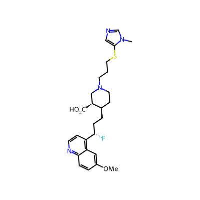 COc1ccc2nccc([C@@H](F)CC[C@@H]3CCN(CCCSc4cncn4C)C[C@@H]3C(=O)O)c2c1